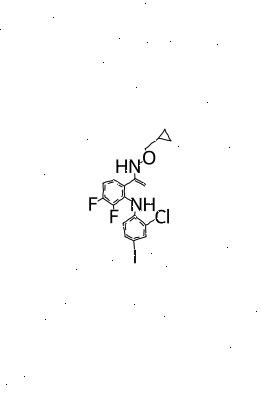 C=C(NOCC1CC1)c1ccc(F)c(F)c1Nc1ccc(I)cc1Cl